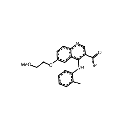 COCCOc1ccc2ncc(C(=O)C(C)C)c(Nc3ccccc3C)c2c1